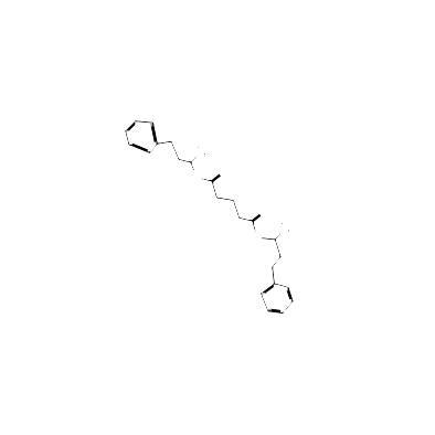 NC(CCc1ccccc1)OC(=O)CCCC(=O)OC(N)CCc1ccccc1